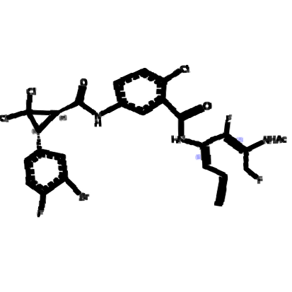 C=C/C=C(NC(=O)c1cc(NC(=O)[C@H]2[C@H](c3ccc(F)c(Br)c3)C2(Cl)Cl)ccc1Cl)\C(F)=C(/CF)NC(C)=O